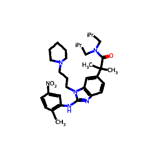 Cc1ccc([N+](=O)[O-])cc1Nc1nc2ccc(C(C)(C)C(=O)N(CC(C)C)CC(C)C)cc2n1CCCN1CCCCC1